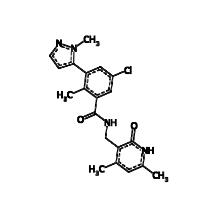 Cc1cc(C)c(CNC(=O)c2cc(Cl)cc(-c3ccnn3C)c2C)c(=O)[nH]1